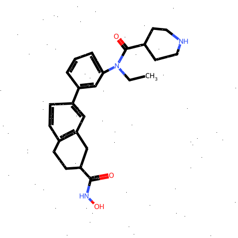 CCN(C(=O)C1CCNCC1)c1cccc(-c2ccc3c(c2)CC(C(=O)NO)CC3)c1